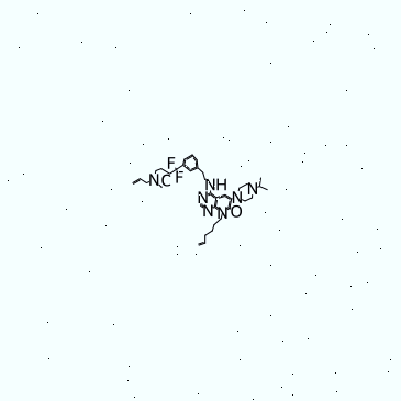 C=CCCCCn1c(=O)c(N2CCN(C(C)C)CC2)cc2c(NCCc3cccc(C(F)(F)C4CCN(CC=C)CC4)c3)ncnc21